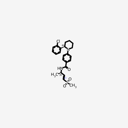 C[C@H](/C=C/S(C)(=O)=O)NC(=O)c1ccc(N2CCCC[C@@H]2c2ccccc2Cl)cc1